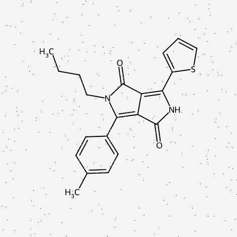 CCCCN1C(=O)C2=C(c3cccs3)NC(=O)C2=C1c1ccc(C)cc1